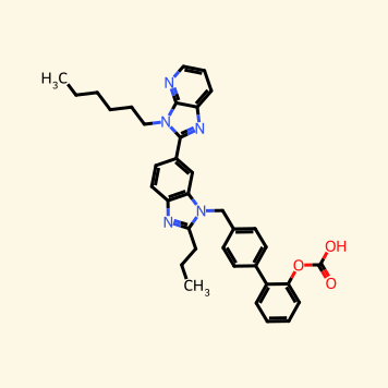 CCCCCCn1c(-c2ccc3nc(CCC)n(Cc4ccc(-c5ccccc5OC(=O)O)cc4)c3c2)nc2cccnc21